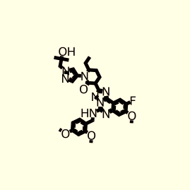 CCC1CCC(c2nc3c4cc(F)c(OC)cc4nc(NCc4ccc(OC)cc4OC)n3n2)C(=O)N1c1cnn(CC(C)(C)O)c1